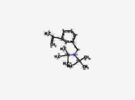 C=C(C)c1cccc(CN([Si](C)(C)C)[Si](C)(C)C)c1